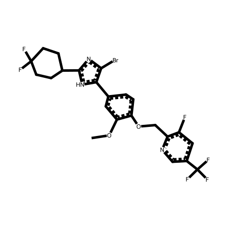 COc1cc(-c2[nH]c(C3CCC(F)(F)CC3)nc2Br)ccc1OCc1ncc(C(F)(F)F)cc1F